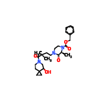 C[C@H]1C(=O)N(CCC(C)(C)C(=O)N2CCC3(CC3)[C@H](O)C2)CCN1C(=O)OCc1ccccc1